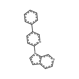 c1ccc(-c2ccc(-n3ccc4ccncc43)nc2)cc1